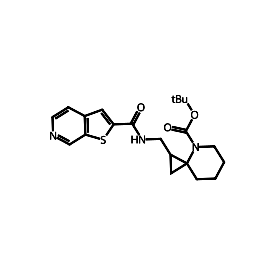 CC(C)(C)OC(=O)N1CCCCC12CC2CNC(=O)c1cc2ccncc2s1